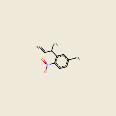 C=C[C](C)c1cc(C)ccc1[N+](=O)[O-]